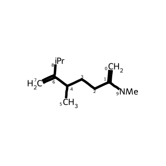 C=C(CCC(C)C(=C)C(C)C)NC